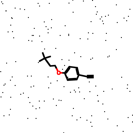 C#Cc1ccc(OCCC(C)(C)C)cc1